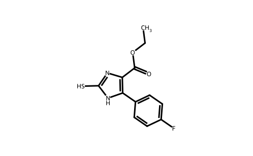 CCOC(=O)c1nc(S)[nH]c1-c1ccc(F)cc1